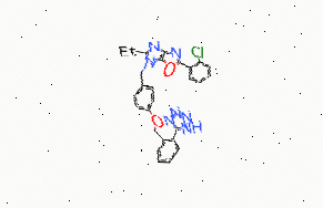 CCc1nc2nc(-c3ccccc3Cl)oc2n1Cc1ccc(OCc2ccccc2-c2nnn[nH]2)cc1